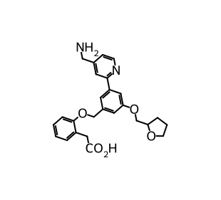 NCc1ccnc(-c2cc(COc3ccccc3CC(=O)O)cc(OCC3CCCO3)c2)c1